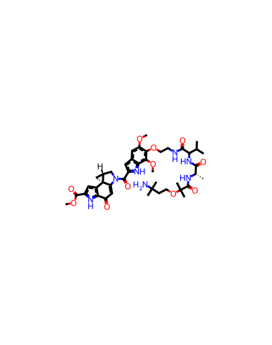 COC(=O)c1cc2c([nH]1)C(=O)C=C1N(C(=O)c3cc4cc(OC)c(OCCNC(=O)C(NC(=O)[C@H](C)NC(=O)C(C)(C)OCCC(C)(C)N)C(C)C)c(OC)c4[nH]3)C[C@H]3C[C@]123